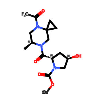 C[C@H]1CN(C(=O)C(F)(F)F)C2(CC2)CN1C(=O)[C@@H]1C[C@@H](O)CN1C(=O)OC(C)(C)C